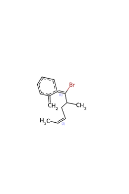 C=c1cccc/c1=C(\Br)C(C)C/C=C\C